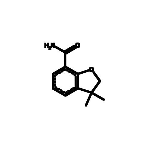 CC1(C)COc2c(C(N)=O)cccc21